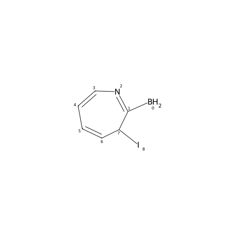 BC1=NC=CC=CC1I